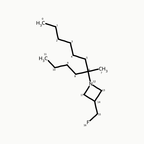 CCCCCCC(C)(CCCC)N1CC(CF)C1